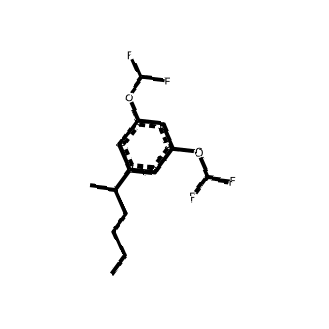 CCCC[C](C)c1cc(OC(F)F)cc(OC(F)F)c1